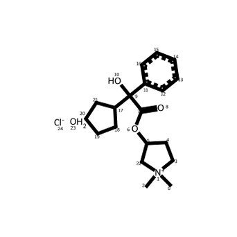 C[N+]1(C)CCC(OC(=O)C(O)(c2ccccc2)C2CCCC2)C1.O.[Cl-]